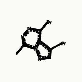 Cc1nnc(C(C)C)c2c(C(C)C)cnn12